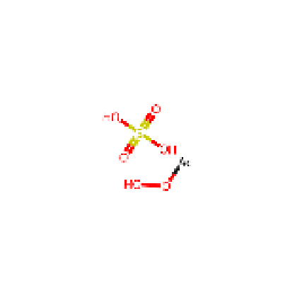 CC(=O)OO.O=S(=O)(O)O